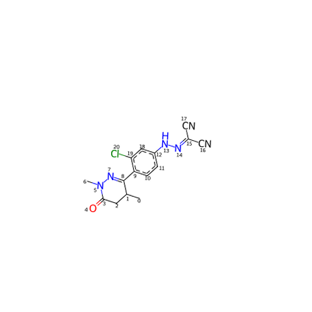 CC1CC(=O)N(C)N=C1c1ccc(NN=C(C#N)C#N)cc1Cl